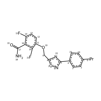 CC(C)c1ccc(-c2noc(COc3ccc(F)c(C(N)=O)c3F)n2)cc1